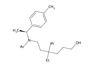 CCC(CCCO)(CCN(C(C)=O)[C@@H](C)c1ccc(C)cc1)C(C)C